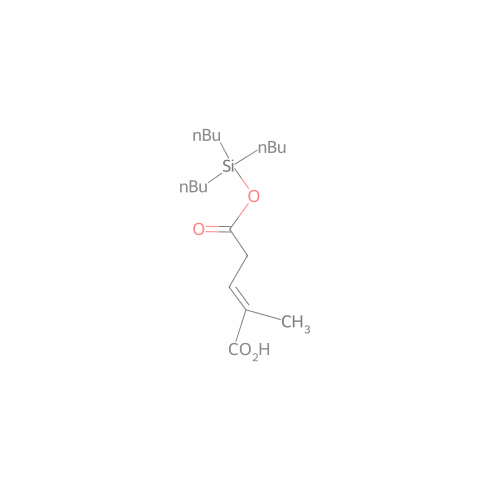 CCCC[Si](CCCC)(CCCC)OC(=O)CC=C(C)C(=O)O